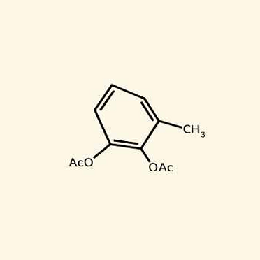 CC(=O)Oc1cccc(C)c1OC(C)=O